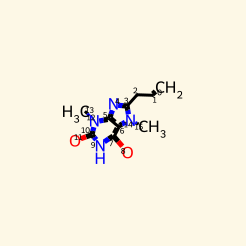 C=CCc1nc2c(c(=O)[nH]c(=O)n2C)n1C